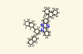 c1ccc2cc(-c3cc(-c4ccc5ccccc5c4)cc(-n4c5ccccc5c5nc6cc(-c7cc8ccccc8c8ccccc78)ccc6nc54)c3)ccc2c1